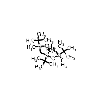 CC(C)(C)[Si](C)(C)C[Si](C)(O[Si](C)(C)C(C)(C)C)C(C)(C)C